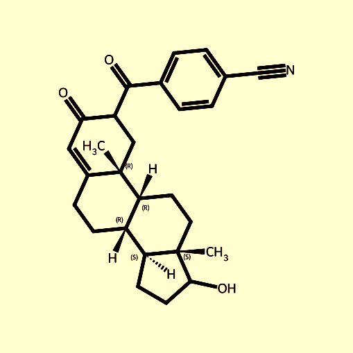 C[C@]12CC(C(=O)c3ccc(C#N)cc3)C(=O)C=C1CC[C@@H]1[C@H]2CC[C@]2(C)C(O)CC[C@@H]12